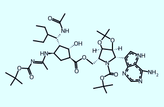 CCC(CC)[C@H](NC(C)=O)[C@@H]1[C@H](O)[C@@H](C(=O)OC[C@@H]2[C@H]3OC(C)(C)O[C@H]3[C@H](c3c[nH]c4c(N)ncnc34)N2C(=O)OC(C)(C)C)C[C@H]1N/C(C)=N/C(=O)OC(C)(C)C